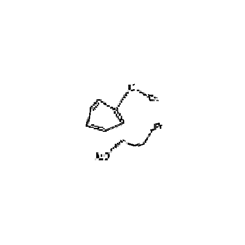 CC(=O)OCCC(C)C.CCOc1ccccc1